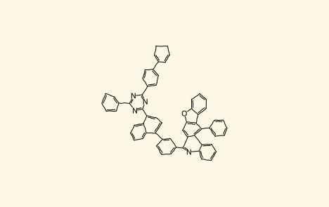 C1=CC(c2ccc(-c3nc(-c4ccccc4)nc(-c4ccc(-c5cccc(-c6nc7ccccc7c7c(-c8ccccc8)c8c(cc67)oc6ccccc68)c5)c5ccccc45)n3)cc2)=CCC1